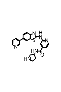 O=C(N[C@H]1CCNC1)c1ccnc(Nc2nc3ccc(-c4cccnc4)cc3s2)c1